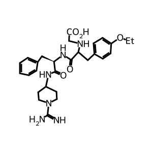 CCOc1ccc(CC(NCC(=O)O)C(=O)N[C@H](Cc2ccccc2)C(=O)NC2CCN(C(=N)N)CC2)cc1